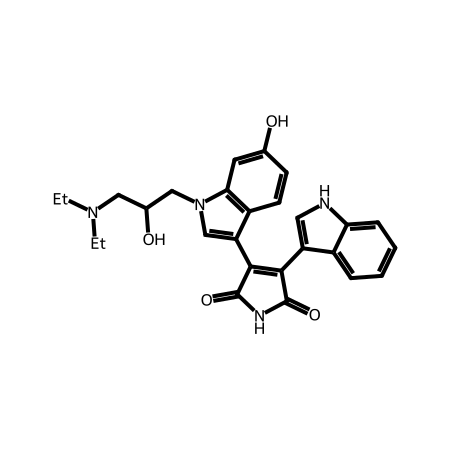 CCN(CC)CC(O)Cn1cc(C2=C(c3c[nH]c4ccccc34)C(=O)NC2=O)c2ccc(O)cc21